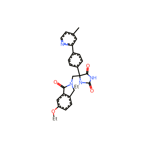 CCOc1ccc2c(c1)C(=O)N(CC1(c3ccc(-c4cc(C)ccn4)cc3)C(=O)NC(=O)N1CC)C2